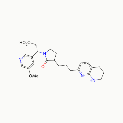 COc1cncc([C@H](CC(=O)O)N2CCC(CCCc3ccc4c(n3)NCCC4)C2=O)c1